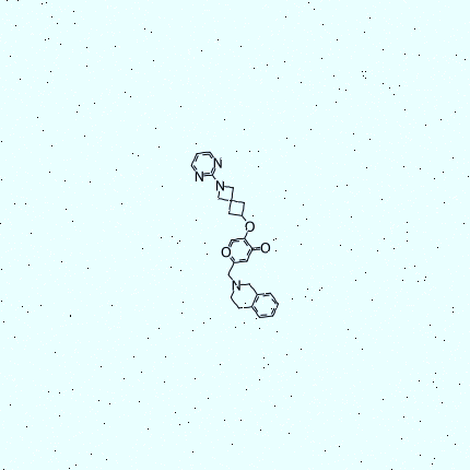 O=c1cc(CN2CCc3ccccc3C2)occ1OC1CC2(C1)CN(c1ncccn1)C2